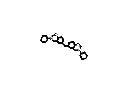 C1=CC(N2COc3ccc(Cc4ccc5c(c4)CN(C4=CCCC=C4)CO5)cc3C2)=CCC1